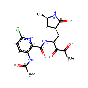 CNC(=O)C(=O)C(C[C@@H]1C[C@@H](C)NC1=O)NC(=O)c1nc(Cl)ccc1NC(=O)OC